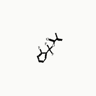 C=C(C)C(=O)OC(F)(F)c1ccccc1F